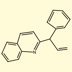 C=CC(c1ccccc1)c1ccc2ccccc2n1